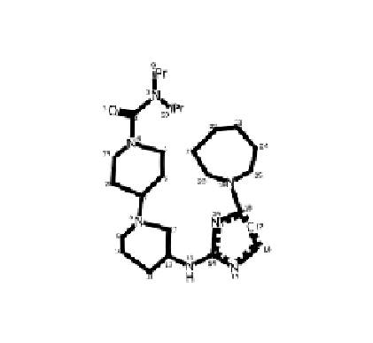 CC(C)N(C(=O)N1CCC(N2CCCC(Nc3nccc(N4CCCCCC4)n3)C2)CC1)C(C)C